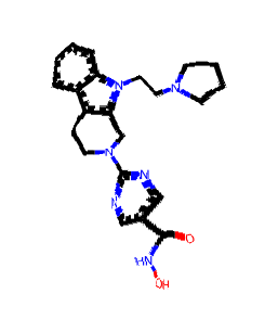 O=C(NO)c1cnc(N2CCc3c(n(CCN4CCCC4)c4ccccc34)C2)nc1